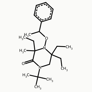 CCC1(CC)CN(C(C)(C)C)C(=O)C(C)(CC)N1OC(C)c1ccccc1